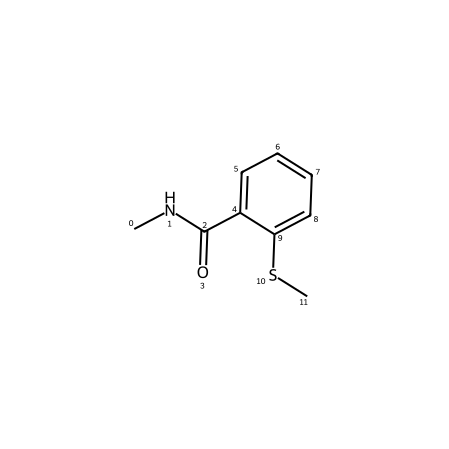 CNC(=O)c1ccccc1SC